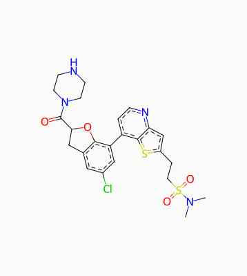 CN(C)S(=O)(=O)CCc1cc2nccc(-c3cc(Cl)cc4c3OC(C(=O)N3CCNCC3)C4)c2s1